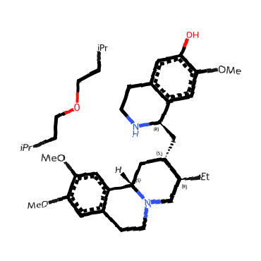 CC(C)CCOCCC(C)C.CC[C@H]1CN2CCc3cc(OC)c(OC)cc3[C@@H]2C[C@@H]1C[C@H]1NCCc2cc(O)c(OC)cc21